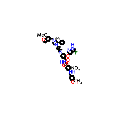 COc1cc(CN2CCN(C3CC4(C3)CN(c3ccc(C(=O)NS(=O)(=O)c5ccc(NCC6CCC(C)(O)CC6)c([N+](=O)[O-])c5)c(Oc5cnc6[nH]cc(F)c6c5)c3)C4)[C@H](c3ccccc3C(C)C)C2)cc2ccoc12